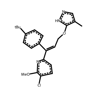 COc1nc(C(=CCOc2[nH]ncc2C)c2ccc(C(C)(C)C)cc2)ccc1Cl